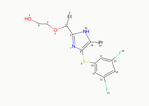 CCC(OCCO)c1nc(Sc2cc(F)cc(F)c2)c(C(C)C)[nH]1